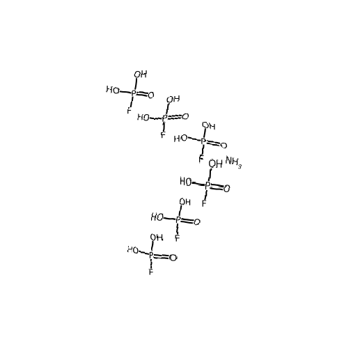 N.O=P(O)(O)F.O=P(O)(O)F.O=P(O)(O)F.O=P(O)(O)F.O=P(O)(O)F.O=P(O)(O)F